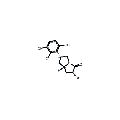 O=C1[C@@H](O)C[C@@H]2C[C@H](c3c(O)ccc(Cl)c3Cl)CN12